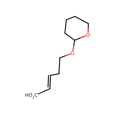 O=C(O)/C=C/CCOC1CCCCO1